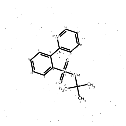 CC(C)(C)NS(=O)(=O)c1ccccc1-c1ccccn1